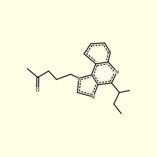 CCC(C)c1nc2ccccc2c2c1ncn2CCCC(C)=O